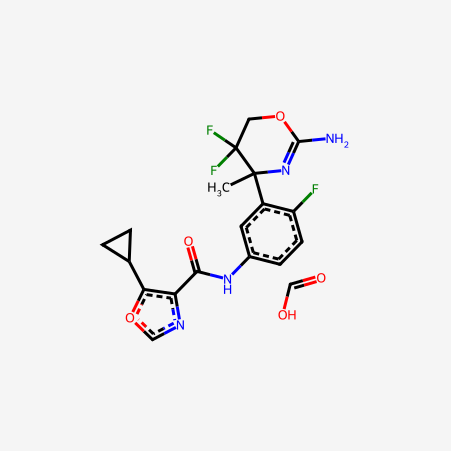 CC1(c2cc(NC(=O)c3ncoc3C3CC3)ccc2F)N=C(N)OCC1(F)F.O=CO